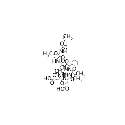 C=CCOC(=O)CNC(=O)C(=O)C(CCC)NC(=O)[C@@H]1CCCN1C(=O)[C@@H](NC(=O)[C@@H](NC(=O)[C@H](CCC(=O)O)NC(=O)[C@H](CCC(=O)O)NC(C)=O)C(C)C)C1CCCCC1